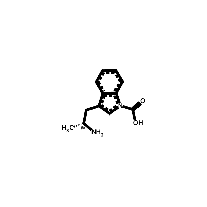 C[C@@H](N)Cc1cn(C(=O)O)c2ccccc12